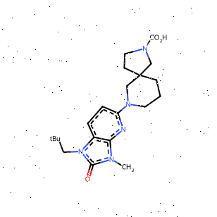 Cn1c(=O)n(CC(C)(C)C)c2ccc(N3CCCC4(CCN(C(=O)O)C4)C3)nc21